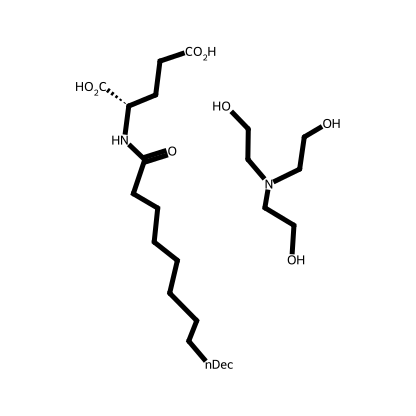 CCCCCCCCCCCCCCCCCC(=O)N[C@@H](CCC(=O)O)C(=O)O.OCCN(CCO)CCO